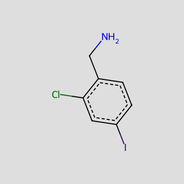 NCc1ccc(I)cc1Cl